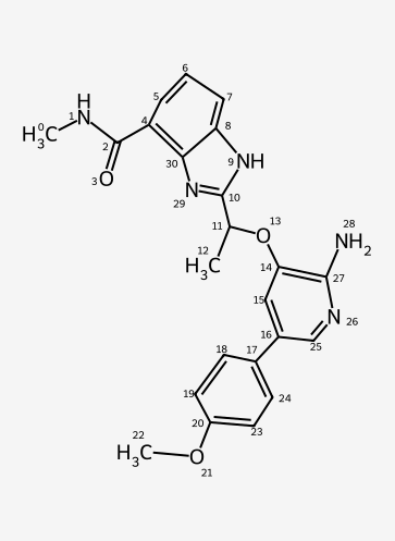 CNC(=O)c1cccc2[nH]c(C(C)Oc3cc(-c4ccc(OC)cc4)cnc3N)nc12